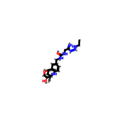 CCN/N=N\C(=N)CNC(=O)NCc1ccc2c(c1)C1C[C@H](N2)[C@H](O)CO1